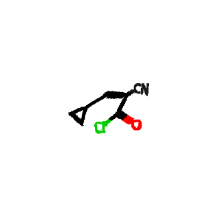 N#CC(=CC1CC1)C(=O)Cl